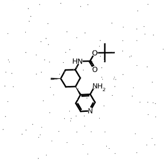 C[C@H]1CC(NC(=O)OC(C)(C)C)C[C@@H](c2ccncc2N)C1